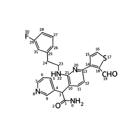 NC(=O)C(c1cccnc1)c1ccc(-c2ccsc2C=O)nc1NCCc1cccc(F)c1